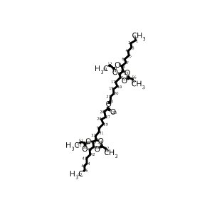 CCCCCCCCC(OC(=O)CC)C(CCCCCCCCOC(=O)CCCCCCCC(OC(=O)CC)C(CCCCCCCC)OC(=O)CC)OC(=O)CC